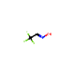 O/N=C/C(F)(F)F